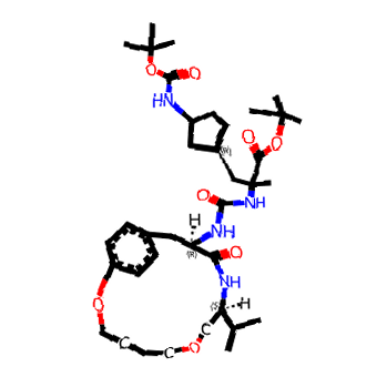 CC(C)[C@H]1COCCCCOc2ccc(cc2)C[C@@H](NC(=O)NC(C)(C[C@@H]2CCC(NC(=O)OC(C)(C)C)C2)C(=O)OC(C)(C)C)C(=O)N1